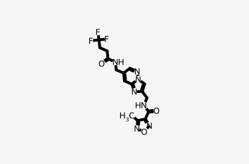 Cc1nonc1C(=O)NCc1cn2ncc(CNC(=O)CCC(F)(F)F)cc2n1